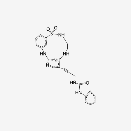 O=C(NCC#Cc1cnc2nc1NCCCNS(=O)(=O)c1cccc(c1)N2)Nc1ccccc1